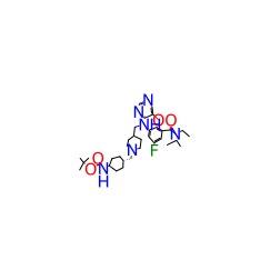 CCN(C(=O)c1cc(F)ccc1Oc1cncnc1NCC1CCN(C[C@H]2CC[C@H](NC(=O)OC(C)(C)C)CC2)CC1)C(C)C